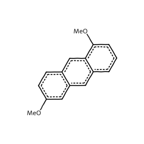 COc1ccc2cc3c(OC)cccc3cc2c1